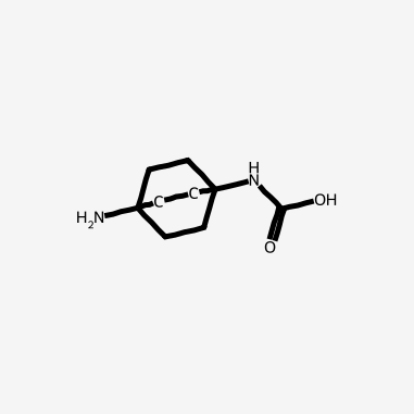 NC12CCC(NC(=O)O)(CC1)CC2